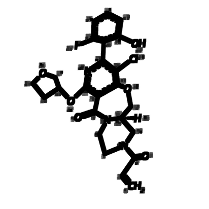 C=CC(=O)N1CCN2C(=O)c3c(OC4CCOC4)nc(-c4c(O)cccc4F)c(Cl)c3OC[C@H]2C1